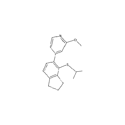 COc1cc(-c2ccc3c(c2SC(C)C)CCC3)ccn1